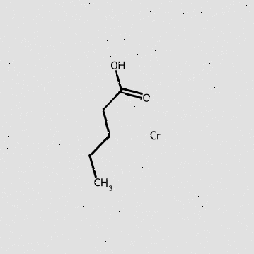 CCCCC(=O)O.[Cr]